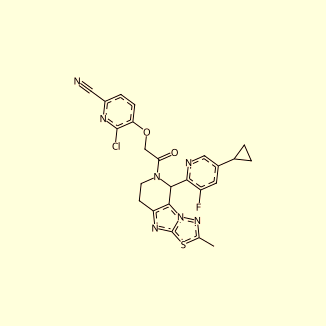 Cc1nn2c3c(nc2s1)CCN(C(=O)COc1ccc(C#N)nc1Cl)C3c1ncc(C2CC2)cc1F